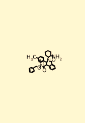 Cc1ccc(C2C(C(=O)NOCc3ccccc3)c3ccccc3C(=O)N2C2CCCCC2N)cc1